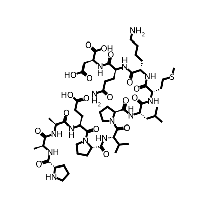 CSCC[C@H](NC(=O)[C@H](CC(C)C)NC(=O)[C@@H]1CCCN1C(=O)[C@@H](NC(=O)[C@@H]1CCCN1C(=O)[C@H](CCC(=O)O)NC(=O)[C@H](C)NC(=O)[C@H](C)NC(=O)[C@@H]1CCCN1)C(C)C)C(=O)N[C@@H](CCCCN)C(=O)N[C@@H](CCC(N)=O)C(=O)N[C@@H](CC(=O)O)C(=O)O